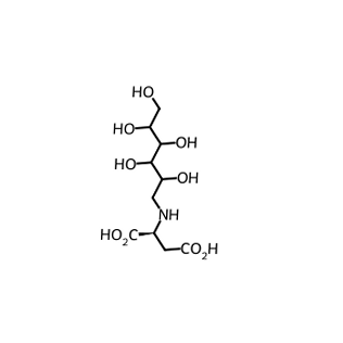 O=C(O)C[C@H](NCC(O)C(O)C(O)C(O)CO)C(=O)O